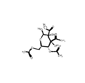 CC(=O)OC[C@H]1OC(O)[C@](O)(C(C)=O)[C@](O)(C(C)=O)[C@@H]1OC(C)=O